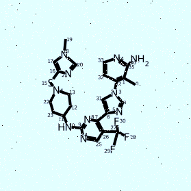 Cc1c(-n2cnc(-c3nc(NC4CCN(Sc5cn(C)cn5)CC4)ncc3C(F)(F)F)c2)ccnc1N